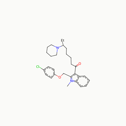 CCC(CCCCC(=O)c1c(COc2ccc(Cl)cc2)n(C)c2ccccc12)N1CCCCC1